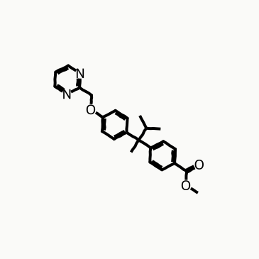 COC(=O)c1ccc(C(C)(c2ccc(OCc3ncccn3)cc2)C(C)C)cc1